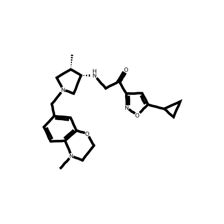 C[C@H]1CN(Cc2ccc3c(c2)OCCN3C)C[C@H]1NCC(=O)c1cc(C2CC2)on1